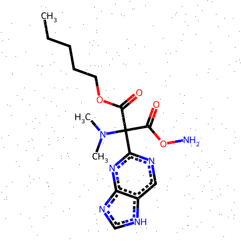 CCCCCOC(=O)C(C(=O)ON)(c1ncc2[nH]cnc2n1)N(C)C